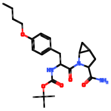 CCCCOc1ccc(CC(NC(=O)OC(C)(C)C)C(=O)N2C(C(N)=O)CC3CC32)cc1